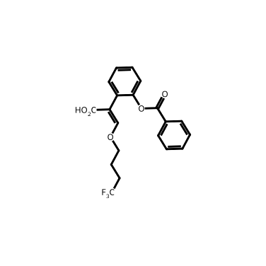 O=C(O)C(=COCCCC(F)(F)F)c1ccccc1OC(=O)c1ccccc1